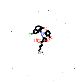 CCCC=C[C@@H](O)[C@@H]1CC[C@H]1CN1CC2(CCCc3cc(Cl)ccc32)COc2ccc(C(=O)O)cc21